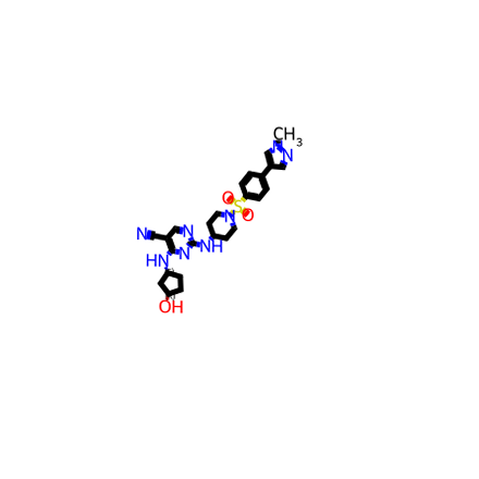 Cn1cc(-c2ccc(S(=O)(=O)N3CCC(Nc4ncc(C#N)c(N[C@H]5CC[C@@H](O)C5)n4)CC3)cc2)cn1